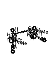 CC[C@H](NC)C(=O)N[C@@H]1C(=O)N2[C@@H](CC[C@@H]1CCNCc1ccccc1)CC[C@H]2C(=O)NC(C(=O)NCCCCCCCCNC(=O)[C@@H](NC(=O)[C@@H]1CC[C@@H]2CC[C@H](CCNCc3ccccc3)[C@H](NC(=O)[C@H](CC)NC)C(=O)N21)c1ccccc1)c1ccccc1